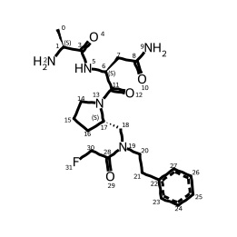 C[C@H](N)C(=O)N[C@@H](CC(N)=O)C(=O)N1CCC[C@H]1CN(CCc1ccccc1)C(=O)CF